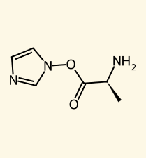 C[C@H](N)C(=O)On1ccnc1